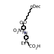 CCCCCCCCCCCCCCCCCCOC(=O)c1ccc(/N=N/c2ccc(N(CC)CCC(=O)O)cc2)c([N+](=O)[O-])c1